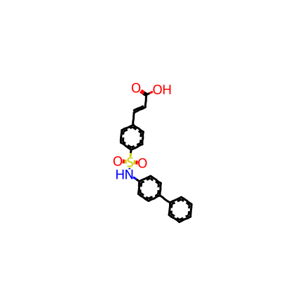 O=C(O)/C=C/c1ccc(S(=O)(=O)Nc2ccc(-c3ccccc3)cc2)cc1